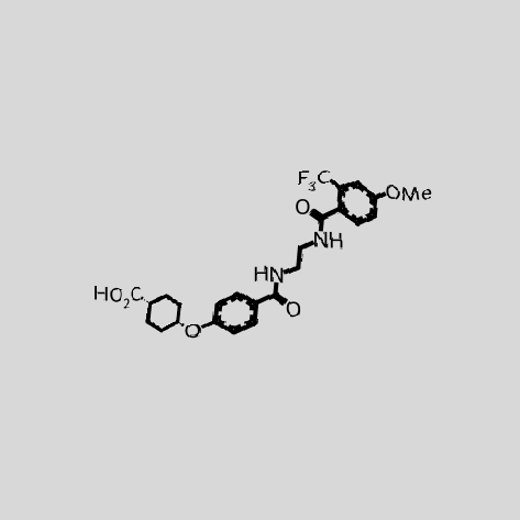 COc1ccc(C(=O)NCCNC(=O)c2ccc(O[C@H]3CC[C@@H](C(=O)O)CC3)cc2)c(C(F)(F)F)c1